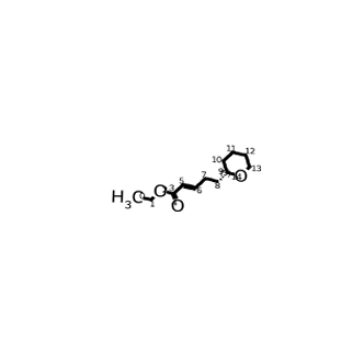 CCOC(=O)C=CCC[C@@H]1CCCCO1